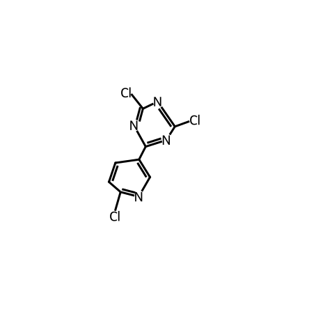 Clc1ccc(-c2nc(Cl)nc(Cl)n2)cn1